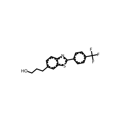 OCCCc1ccc2nc(-c3ccc(C(F)(F)F)cc3)sc2c1